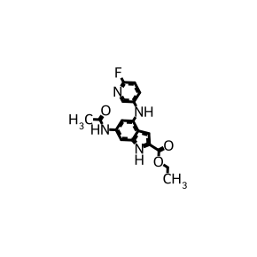 CCOC(=O)c1cc2c(Nc3ccc(F)nc3)cc(NC(C)=O)cc2[nH]1